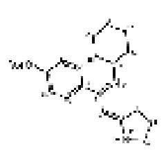 COc1ccc(C(C=C2CCCN2)=NC2CCCCC2)cc1